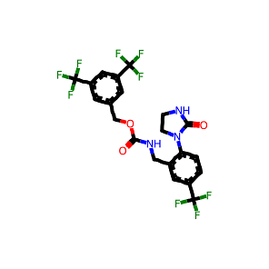 O=C(NCc1cc(C(F)(F)F)ccc1N1CCNC1=O)OCc1cc(C(F)(F)F)cc(C(F)(F)F)c1